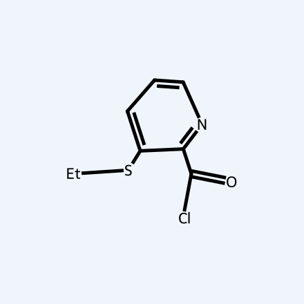 CCSc1cccnc1C(=O)Cl